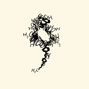 CCCCCOc1ccc(-c2cc(-c3ccc(C(=O)N[C@H]4C[C@@H](O)[C@@H](O)NC(=O)[C@@H]5[C@@H](O)[C@@H](C)CN5C(=O)[C@H]([C@H](O)CC(N)=O)NC(=O)C([C@H](O)[C@@H](O)c5ccc(O)c(OS(=O)(=O)O)c5)NC(=O)C5C[C@@H](O)CN5C(=O)[C@H]([C@@H](C)O)NC4=O)cc3)no2)cc1